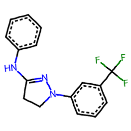 FC(F)(F)c1cccc(N2CCC(Nc3ccccc3)=N2)c1